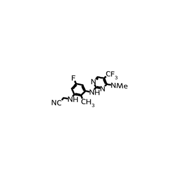 CNc1nc(Nc2cc(F)cc(NCC#N)c2C)ncc1C(F)(F)F